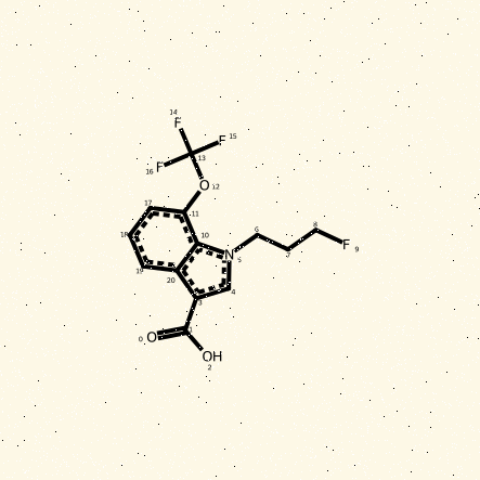 O=C(O)c1cn(CCCF)c2c(OC(F)(F)F)cccc12